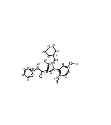 COc1ccc(OC)c(-c2cc(C(=O)Nc3ncccn3)c(C)n2CC2CCCCC2)c1